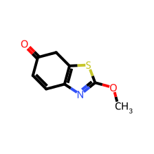 COc1nc2c(s1)CC(=O)C=C2